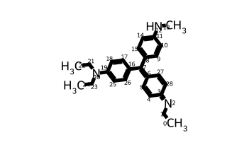 CCN=C1C=CC(=C(c2ccc(NC)cc2)c2ccc(N(CC)CC)cc2)C=C1